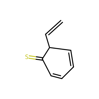 C=CC1C=CC=CC1=S